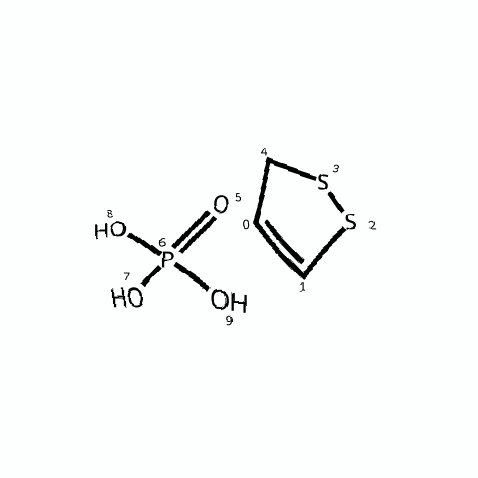 C1=CSSC1.O=P(O)(O)O